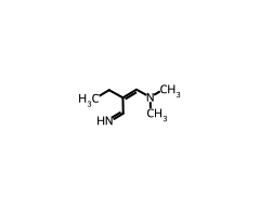 CC/C(C=N)=C/N(C)C